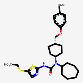 COc1ccc(OC[C@H]2CC[C@H](N(C(=O)Nc3ncc(SCC(=O)O)s3)C3CCCCCC3)CC2)cc1